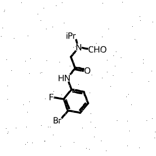 CC(C)N(C=O)CC(=O)Nc1cccc(Br)c1F